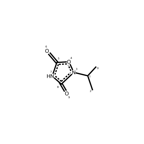 CC(C)n1oc(=O)[nH]c1=O